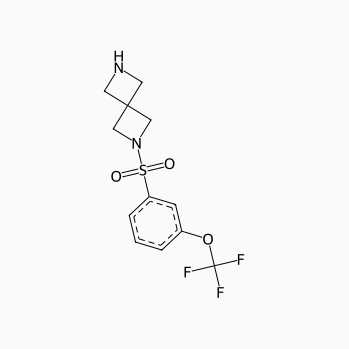 O=S(=O)(c1cccc(OC(F)(F)F)c1)N1CC2(CNC2)C1